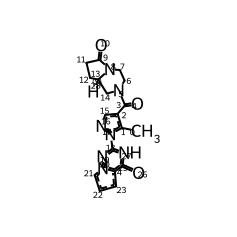 Cc1c(C(=O)N2CCN3C(=O)CC[C@H]3C2)cnn1-c1nn2cccc2c(=O)[nH]1